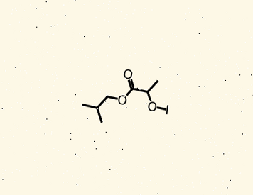 CC(C)COC(=O)C(C)OI